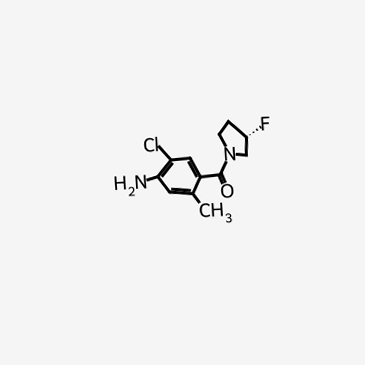 Cc1cc(N)c(Cl)cc1C(=O)N1CC[C@H](F)C1